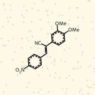 COc1ccc(/C(C#N)=C/c2ccc([N+](=O)[O-])cc2)cc1OC